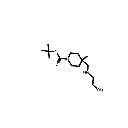 CC1(CNCCO)CCN(C(=O)OC(C)(C)C)CC1